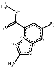 NNC(=O)c1cc(Br)cc2nc(N)nn12